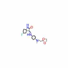 CN(CCC1OCCO1)c1ccc(N/C=C2/C(=O)Nc3ccc(F)cc32)cc1